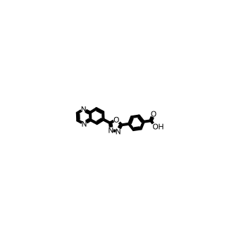 O=C(O)c1ccc(-c2nnc(-c3ccc4nccnc4c3)o2)cc1